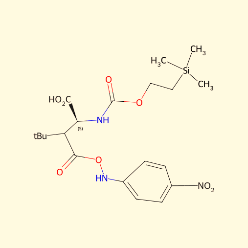 CC(C)(C)C(C(=O)ONc1ccc([N+](=O)[O-])cc1)[C@H](NC(=O)OCC[Si](C)(C)C)C(=O)O